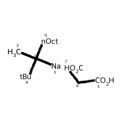 CCCCCCCC[C](C)([Na])C(C)(C)C.O=C(O)CC(=O)O